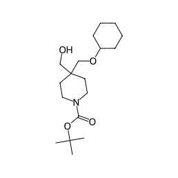 CC(C)(C)OC(=O)N1CCC(CO)(COC2CCCCC2)CC1